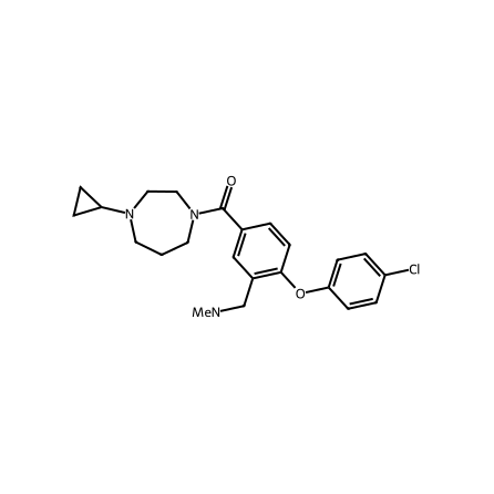 CNCc1cc(C(=O)N2CCCN(C3CC3)CC2)ccc1Oc1ccc(Cl)cc1